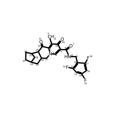 Cc1c2n(cc(C(=O)NCc3c(F)cc(F)cc3F)c1=O)CC1CC3CCC(C3)C1C2=O